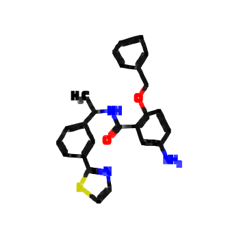 CC(NC(=O)c1cc(N)ccc1OCc1ccccc1)c1cccc(-c2nccs2)c1